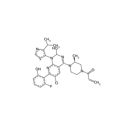 C=CC(=O)N1CCN(C2=NC(O)N(c3scnc3C(C)C)c3nc(-c4c(O)cccc4F)c(Cl)cc32)[C@@H](C)C1